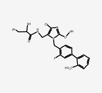 CCCOc1nc(Cl)c(CNC(=O)C(S)CC(C)C)n1Cc1ccc(-c2ccccc2C(=O)O)cc1F